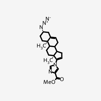 COC(=O)c1cn(C2=CCC3C4CC=C5C[C@@H](N=[N+]=[N-])CC[C@]5(C)C4CC[C@]23C)cn1